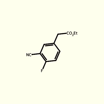 CCOC(=O)Cc1ccc(F)c(C#N)c1